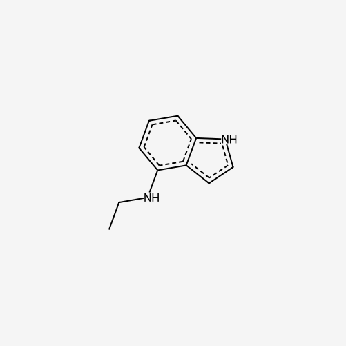 CCNc1cccc2[nH]ccc12